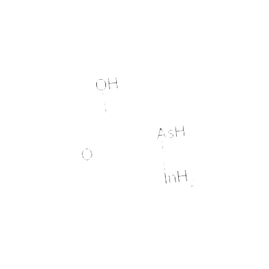 O=C(O)[AsH][InH2]